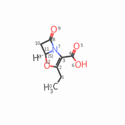 CCC1=C(C(=O)O)N2C(=O)C[C@@H]2O1